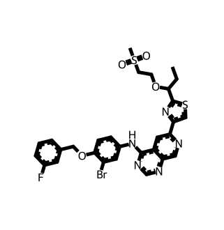 CCC(OCCS(C)(=O)=O)c1nc(-c2cc3c(Nc4ccc(OCc5cccc(F)c5)c(Br)c4)ncnc3cn2)cs1